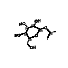 C[C@H](I)O[C@H]1O[C@H](CO)[C@@H](O)[C@H](O)[C@@H]1O